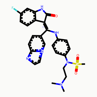 CN(C)CCN(c1ccc(N/C(=C2\C(=O)Nc3cc(F)ccc32)c2ccc3nccn3c2)cc1)S(C)(=O)=O